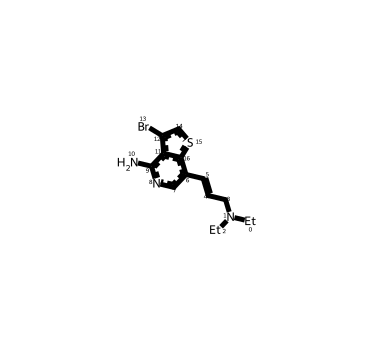 CCN(CC)CC=Cc1cnc(N)c2c(Br)csc12